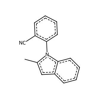 Cc1cc2ccccc2n1-c1ccccc1C#N